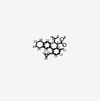 COC(=O)C(CC(C)C)c1c(C)ccc(C2CC2)c1-c1ccc2c(c1)CCCC2